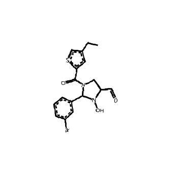 CCc1csc(C(=O)N2CC(C=O)N(O)C2c2cccc(Br)c2)c1